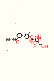 CNC(=O)c1cccc(-c2ccc(OC(O)C(O)C(O)C(O)CCO)c(C)c2)c1